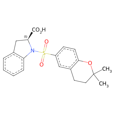 CC1(C)CCc2cc(S(=O)(=O)N3c4ccccc4C[C@H]3C(=O)O)ccc2O1